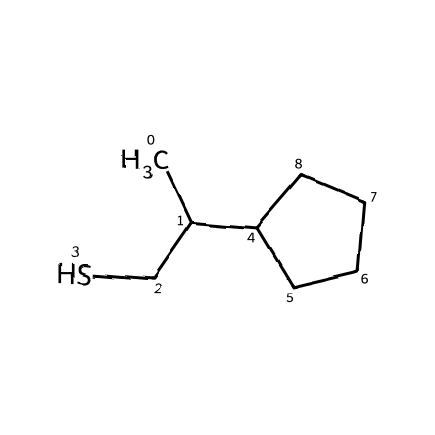 CC(CS)C1CCCC1